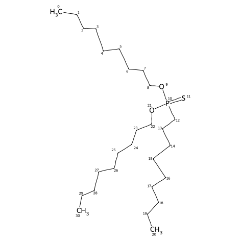 CCCCCCCCCOP(=S)(CCCCCCCCC)OCCCCCCCCC